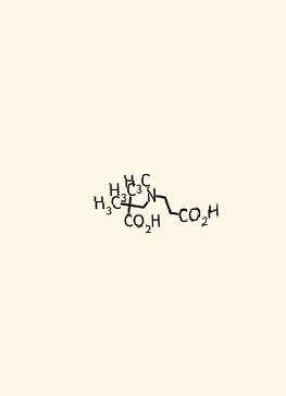 CN(CCC(=O)O)CC(C)(C)C(=O)O